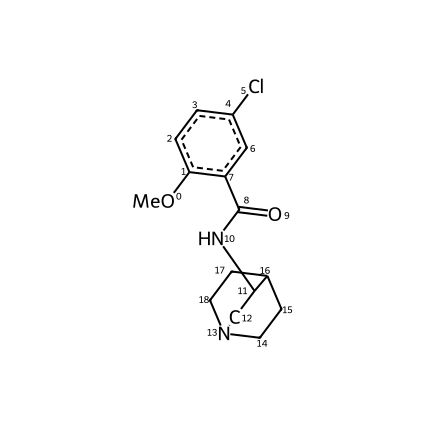 COc1ccc(Cl)cc1C(=O)NC1CN2CCC1CC2